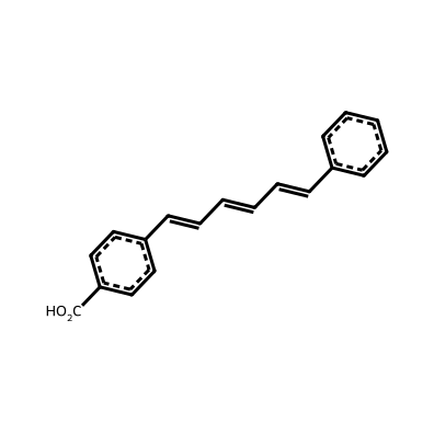 O=C(O)c1ccc(C=CC=CC=Cc2ccccc2)cc1